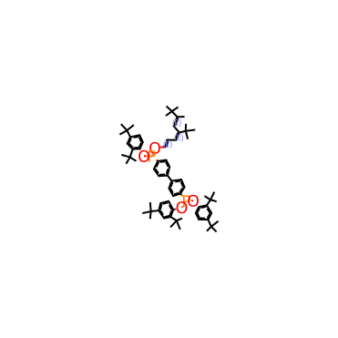 C\C(=C/C(=C\C=C\OP(Oc1ccc(C(C)(C)C)cc1C(C)(C)C)c1ccc(-c2ccc(P(Oc3ccc(C(C)(C)C)cc3C(C)(C)C)Oc3ccc(C(C)(C)C)cc3C(C)(C)C)cc2)cc1)C(C)(C)C)C(C)(C)C